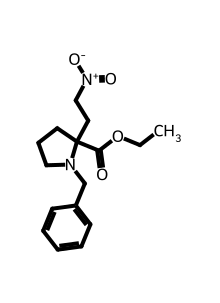 CCOC(=O)C1(CC[N+](=O)[O-])CCCN1Cc1ccccc1